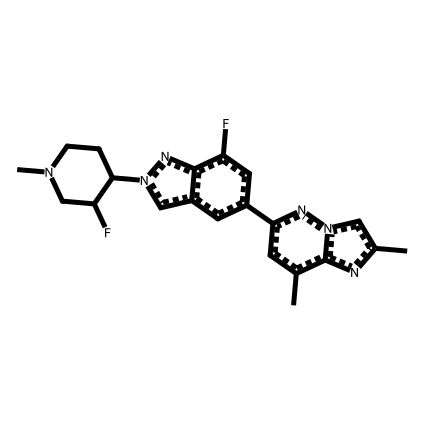 Cc1cn2nc(-c3cc(F)c4nn(C5CCN(C)CC5F)cc4c3)cc(C)c2n1